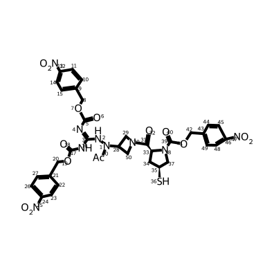 CC(=O)N(NC(=NC(=O)OCc1ccc([N+](=O)[O-])cc1)NC(=O)OCc1ccc([N+](=O)[O-])cc1)C1CN(C(=O)[C@@H]2C[C@H](S)CN2C(=O)OCc2ccc([N+](=O)[O-])cc2)C1